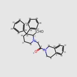 O=CC1N(CC(=O)N2CCc3ccccc3C2)CCCC1(c1ccccc1)c1ccccc1